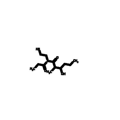 CCCC(O)C(C)C(=O)N(CCS)C(=O)CC